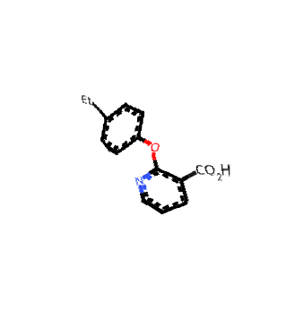 CCc1ccc(Oc2ncccc2C(=O)O)cc1